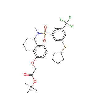 CN(C1CCCc2c(OCC(=O)OC(C)(C)C)cccc21)S(=O)(=O)c1cc(SC2CCCC2)cc(C(F)(F)F)c1